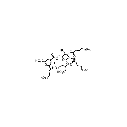 CCCCCCCCCCCCCC(=O)N[C@H]1[C@H](OC(CC(=O)O)CC(=O)O)O[C@H](COC(=O)[C@@H](CCC(=O)O)NC(=O)CCCCCCCCCCCCC)[C@@H](O)[C@@H]1OC(=O)CCCCCCCCCCCCC